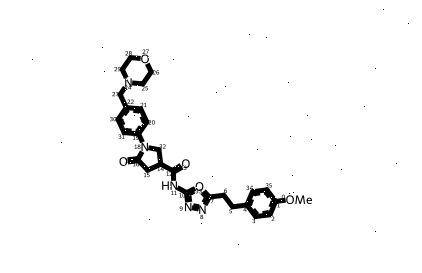 COc1ccc(CCc2nnc(NC(=O)C3CC(=O)N(c4ccc(CN5CCOCC5)cc4)C3)o2)cc1